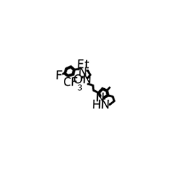 CC[C@@H](c1ccc(F)c(C(F)(F)F)c1)N1CCN(CCCc2cc(C)c3c(n2)NCCC3)C1=O